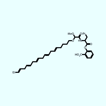 CCC=CCC=CCC=CCC=CCC=CCCCCOC(OC)C(=O)NC(CC(C)C)C(=O)Oc1ccccc1C(=O)O